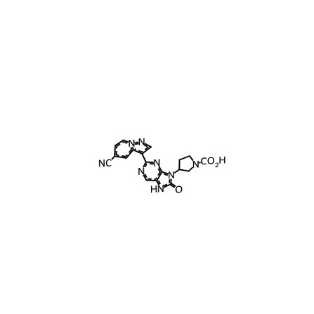 N#Cc1ccn2ncc(-c3ncc4[nH]c(=O)n(C5CCN(C(=O)O)C5)c4n3)c2c1